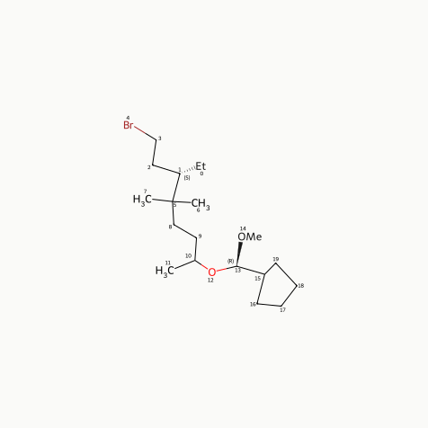 CC[C@@H](CCBr)C(C)(C)CCC(C)O[C@@H](OC)C1CCCC1